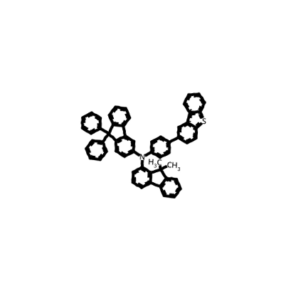 CC1(C)c2ccccc2-c2cccc(N(c3ccc(-c4ccc5sc6ccccc6c5c4)cc3)c3ccc4c(c3)-c3ccccc3C4(c3ccccc3)c3ccccc3)c21